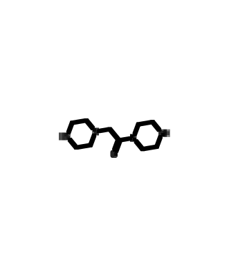 O=C(CN1CCNCC1)N1CCNCC1